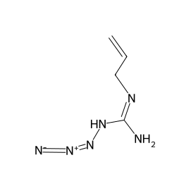 C=CCN=C(N)NN=[N+]=[N-]